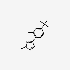 Cc1cc(C(C)(C)C)ccc1-c1ccn(C)n1